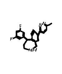 Cc1ccc(-c2ccc3c(c2)CNCCC3c2cc(F)cc(F)c2)nn1